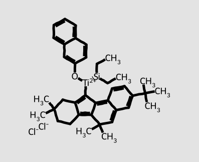 CC[Si](CC)=[Ti+2]([O]c1ccc2ccccc2c1)[C]1=C2CC(C)(C)CCC2=C2C1=c1ccc(C(C)(C)C)cc1=CC2(C)C.[Cl-].[Cl-]